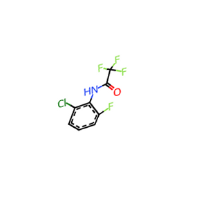 O=C(Nc1c(F)cccc1Cl)C(F)(F)F